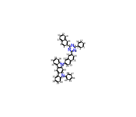 c1ccc(-c2nc(-c3ccc4ccccc4c3)nc(-c3ccc4ccc(-n5c6ccccc6c6cc7c8ccccc8n(-c8ccccc8)c7cc65)cc4c3)n2)cc1